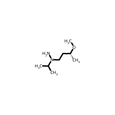 CO[C@H](C)CCN(N)C(C)C